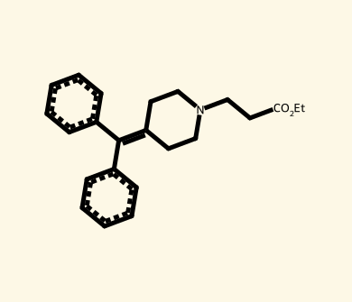 CCOC(=O)CCN1CCC(=C(c2ccccc2)c2ccccc2)CC1